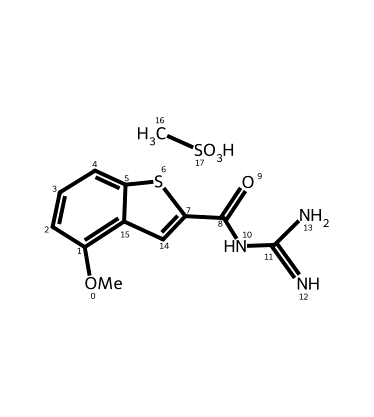 COc1cccc2sc(C(=O)NC(=N)N)cc12.CS(=O)(=O)O